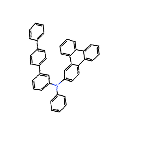 c1ccc(-c2ccc(-c3cccc(N(c4ccccc4)c4ccc5c6ccccc6c6ccccc6c5c4)c3)cc2)cc1